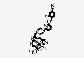 CCn1cncc1Cc1c(CN2CCN(c3cccc(OCc4ccc(C#N)cc4F)n3)CC2)nc2ncc(C(=O)O)nn12